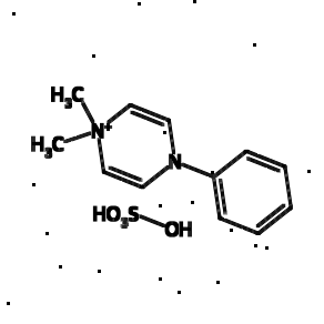 C[N+]1(C)C=CN(c2ccccc2)C=C1.O=S(=O)(O)O